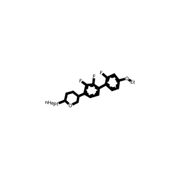 CCCCCCCC1CCC(c2ccc(-c3ccc(OCC)cc3F)c(F)c2F)CO1